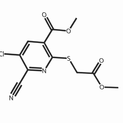 COC(=O)CSc1nc(C#N)c(Cl)cc1C(=O)OC